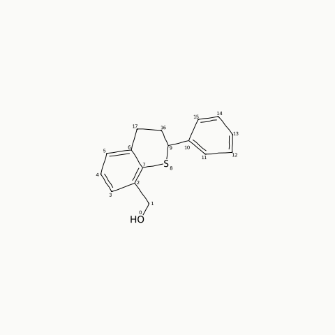 OCc1cccc2c1SC(c1ccccc1)CC2